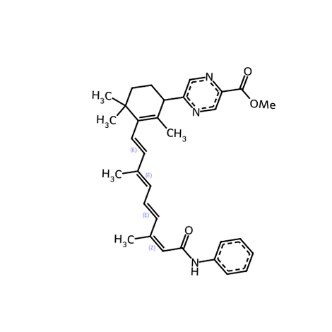 COC(=O)c1cnc(C2CCC(C)(C)C(/C=C/C(C)=C/C=C/C(C)=C\C(=O)Nc3ccccc3)=C2C)cn1